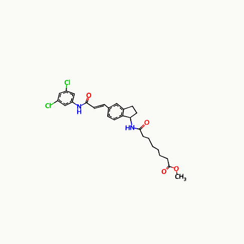 COC(=O)CCCCCCC(=O)NC1CCc2cc(/C=C/C(=O)Nc3cc(Cl)cc(Cl)c3)ccc21